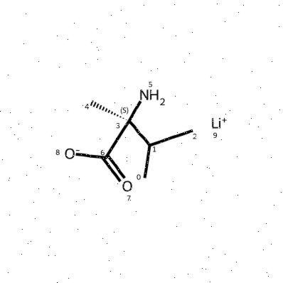 CC(C)[C@](C)(N)C(=O)[O-].[Li+]